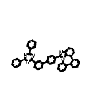 c1ccc(-c2nc(-c3ccccc3)nc(-c3cccc(-c4ccc(-c5nc6cccc7c6n5-c5ccccc5-c5ccccc5-7)cc4)c3)n2)cc1